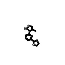 CC1=CONN1c1cccc(C2OCCO2)n1